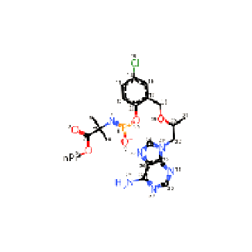 CCCOC(=O)C(C)(C)/N=[P+](\[O-])Oc1ccc(Cl)cc1COC(C)Cn1cnc2c(N)ncnc21